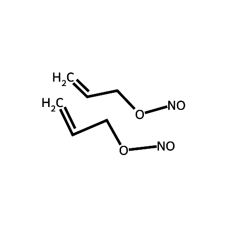 C=CCON=O.C=CCON=O